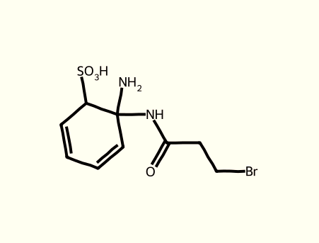 NC1(NC(=O)CCBr)C=CC=CC1S(=O)(=O)O